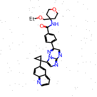 CCOCC1(NC(=O)c2ccc(-c3cnc4ncc(C5(c6ccc7ncccc7c6)CC5)n4n3)cc2)CCOCC1